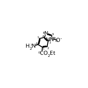 CCOC(=O)c1cc2c(cc1N)N=C[NH+]2[O-]